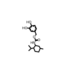 CC1CCC(C(C)C)C(NC(=O)OCc2ccc(O)c(O)c2)C1